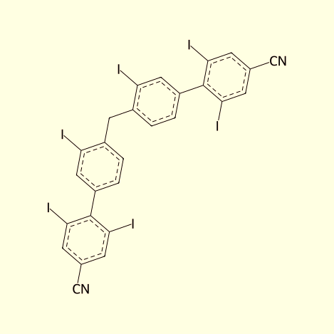 N#Cc1cc(I)c(-c2ccc(Cc3ccc(-c4c(I)cc(C#N)cc4I)cc3I)c(I)c2)c(I)c1